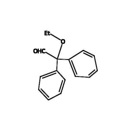 CCOC(C=O)(c1ccccc1)c1ccccc1